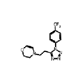 FC(F)(F)c1ccc(-n2nnnc2CCN2C=COCC2)cc1